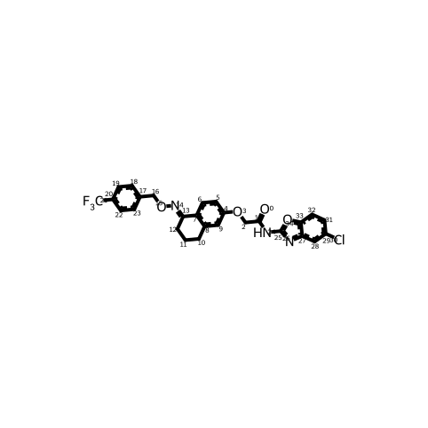 O=C(COc1ccc2c(c1)CCCC2=NOCc1ccc(C(F)(F)F)cc1)Nc1nc2cc(Cl)ccc2o1